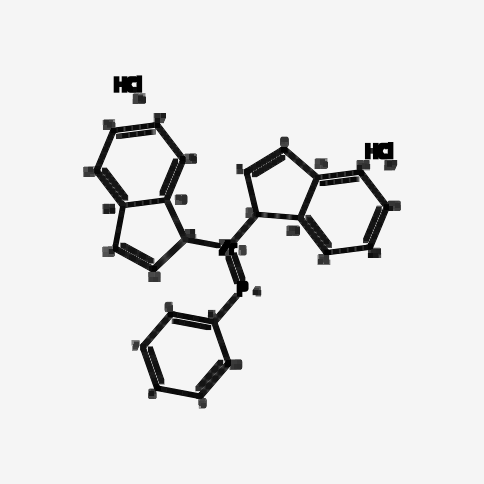 C1=C[CH]([Zr](=[P]c2ccccc2)[CH]2C=Cc3ccccc32)c2ccccc21.Cl.Cl